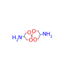 NC1COC2(OC1)OCC(N)CO2